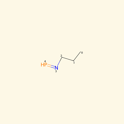 CCCN=P